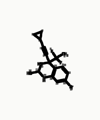 CC(F)(F)C1(C#CC2CC2)NC(O)Nc2cc(Br)ccc21